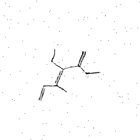 C=CC(O)=C(CO)C(=C)CCl